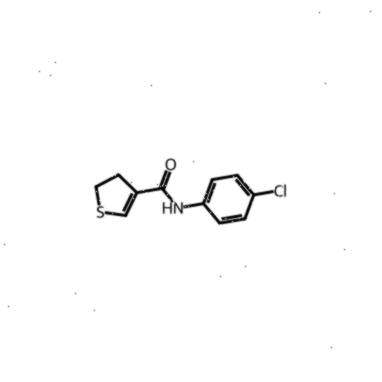 O=C(Nc1ccc(Cl)cc1)C1=CSCC1